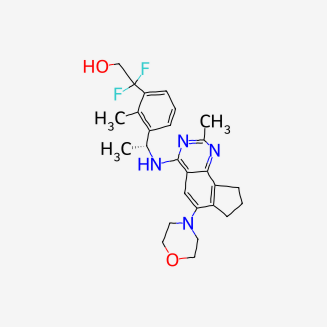 Cc1nc(N[C@H](C)c2cccc(C(F)(F)CO)c2C)c2cc(N3CCOCC3)c3c(c2n1)CCC3